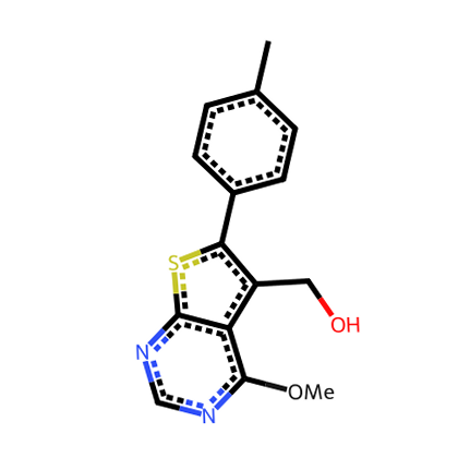 COc1ncnc2sc(-c3ccc(C)cc3)c(CO)c12